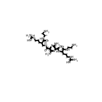 N=C(N)NCCCC(CNC(=O)c1nc(N)c(C(=O)NC(CCCNC(=N)N)C(=O)NCCN)nc1N)C(=O)NCCN